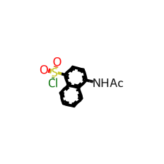 CC(=O)Nc1ccc(S(=O)(=O)Cl)c2ccccc12